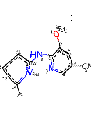 CCOc1cc(C#N)cnc1Nc1cccc(C)n1